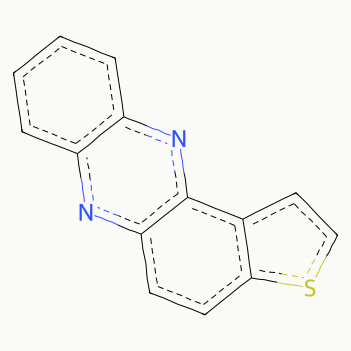 c1ccc2nc3c(ccc4sccc43)nc2c1